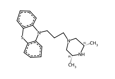 C[C@@H]1CN(CCCN2c3ccccc3Sc3ccccc32)C[C@H](C)N1